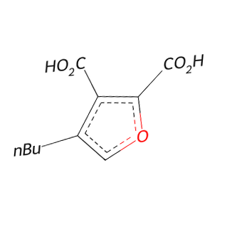 CCCCc1coc(C(=O)O)c1C(=O)O